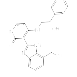 O=c1[nH]ccc(NC[C@@H](O)c2ccccc2)c1-c1nc2cccc(CO)c2[nH]1